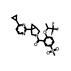 CC(Oc1ccc(S(C)(=O)=O)cc1C(=O)N1CC2CC2(c2nccc(C3CC3)n2)C1)C(F)(F)F